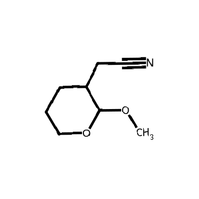 COC1OCCCC1CC#N